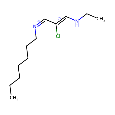 CCCCCCC/N=C\C(Cl)=C\NCC